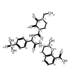 CCN1CCN(C(=O)NC(C(=O)N[C@H]2Cc3cccc(C(=O)O)c3OB2O)c2ccc(P(=O)(O)O)cc2)C(=O)C1=O